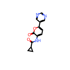 O=C(Nc1ccc(-c2cncnc2)oc1=O)C1CC1